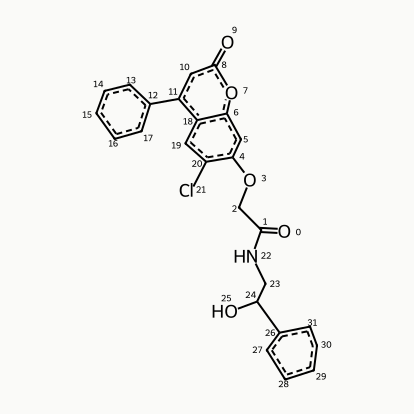 O=C(COc1cc2oc(=O)cc(-c3ccccc3)c2cc1Cl)NCC(O)c1ccccc1